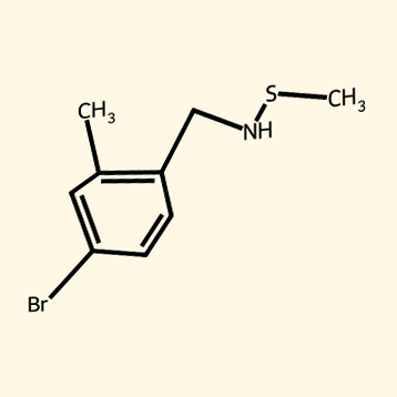 CSNCc1ccc(Br)cc1C